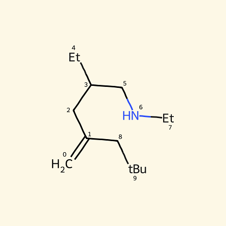 C=C(CC(CC)CNCC)CC(C)(C)C